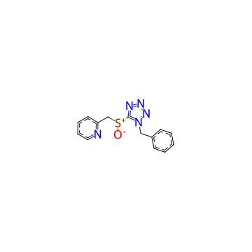 [O-][S+](Cc1ccccn1)c1nnnn1Cc1ccccc1